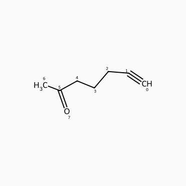 C#CCCCC(C)=O